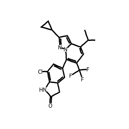 CC(C)c1cc(C(F)(F)F)c(-c2cc(Cl)c3c(c2)CC(=O)N3)n2nc(C3CC3)cc12